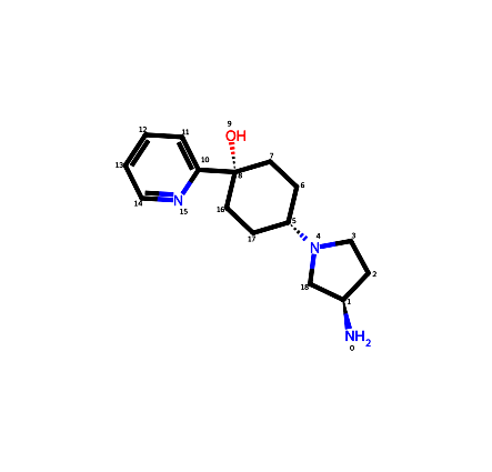 N[C@@H]1CCN([C@H]2CC[C@](O)(c3ccccn3)CC2)C1